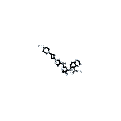 CN1CCN(C2CC(n3cc(Nc4ncc(Cl)c(Nc5ccc6nccnc6c5P(C)C)n4)cn3)C2)CC1